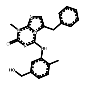 Cc1ccc(CO)cc1Nc1nc(=O)n(C)c2ncc(Cc3ccccc3)n12